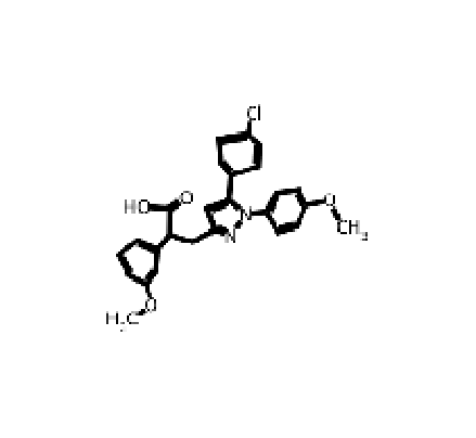 COc1ccc(-n2nc(CC(C(=O)O)c3cccc(OC)c3)cc2-c2ccc(Cl)cc2)cc1